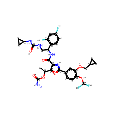 C[C@H](OC(N)=O)c1oc(-c2ccc(OC(F)F)c(OCC3CC3)c2)nc1C(=O)NC(CNC(=O)NC1CC1)c1ccc(F)cc1F